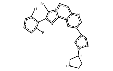 Fc1cccc(Cl)c1-c1nc2c3cc(-c4cnn([C@H]5CCNC5)c4)cnc3ccn2c1Br